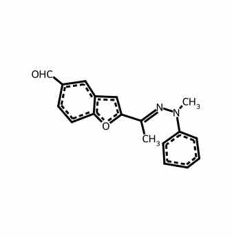 CC(=NN(C)c1ccccc1)c1cc2cc(C=O)ccc2o1